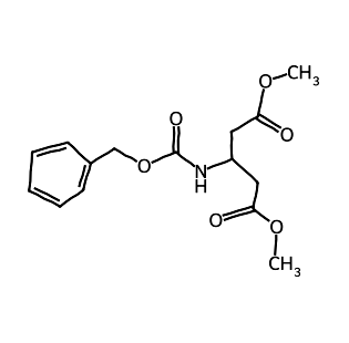 COC(=O)CC(CC(=O)OC)NC(=O)OCc1ccccc1